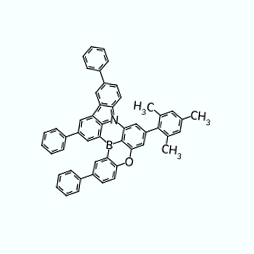 Cc1cc(C)c(-c2cc3c4c(c2)-n2c5ccc(-c6ccccc6)cc5c5cc(-c6ccccc6)cc(c52)B4c2cc(-c4ccccc4)ccc2O3)c(C)c1